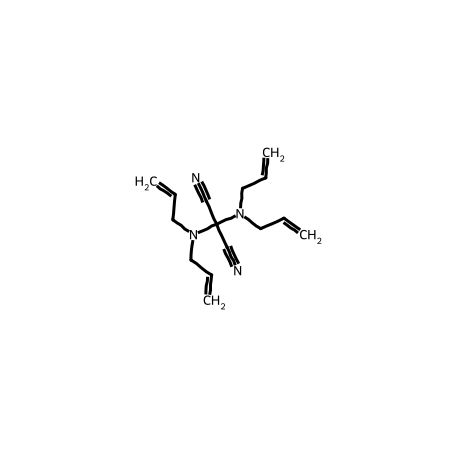 C=CCN(CC=C)C(C#N)(C#N)N(CC=C)CC=C